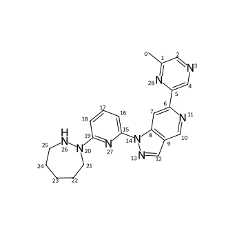 Cc1cncc(-c2cc3c(cn2)cnn3-c2cccc(N3CCCCCN3)n2)n1